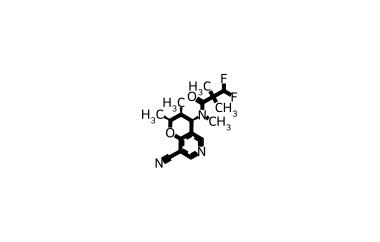 C[C@@H]1[C@H](C)Oc2c(C#N)cncc2[C@@H]1N(C)C(=O)C(C)(C)C(F)F